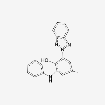 Cc1cc(Nc2ccccc2)c(O)c(-n2nc3ccccc3n2)c1